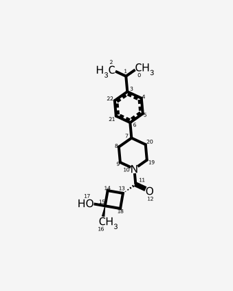 CC(C)c1ccc(C2CCN(C(=O)[C@H]3C[C@@](C)(O)C3)CC2)cc1